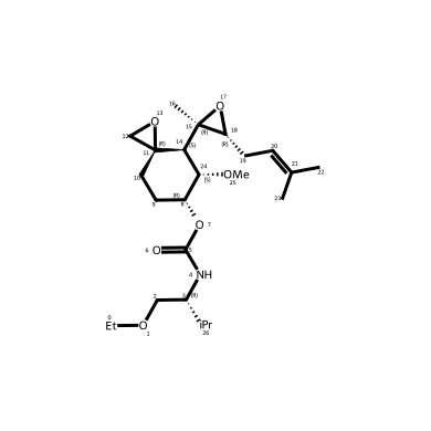 CCOC[C@H](NC(=O)O[C@@H]1CC[C@]2(CO2)[C@@H]([C@@]2(C)O[C@@H]2CC=C(C)C)[C@@H]1OC)C(C)C